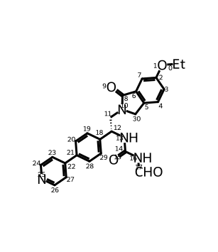 CCOc1ccc2c(c1)C(=O)N(C[C@H](NC(=O)NC=O)c1ccc(-c3ccncc3)cc1)C2